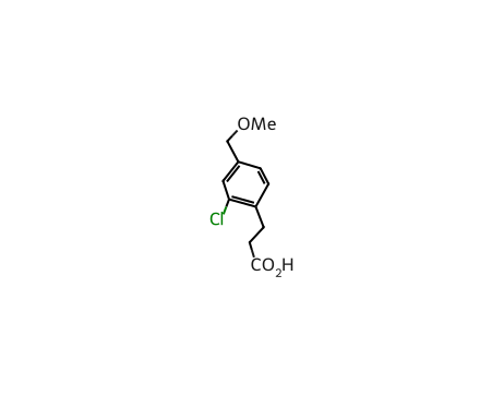 COCc1ccc(CCC(=O)O)c(Cl)c1